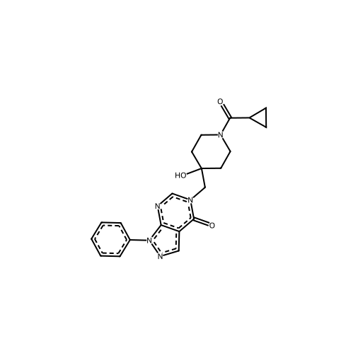 O=C(C1CC1)N1CCC(O)(Cn2cnc3c(cnn3-c3ccccc3)c2=O)CC1